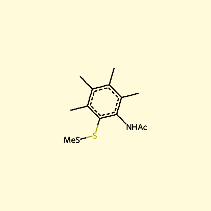 CSSc1c(C)c(C)c(C)c(C)c1NC(C)=O